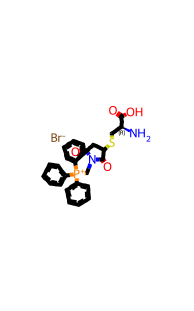 N[C@@H](CSC1CC(=O)N(C[P+](c2ccccc2)(c2ccccc2)c2ccccc2)C1=O)C(=O)O.[Br-]